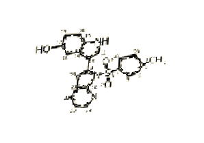 Cc1ccc(S(=O)(=O)n2c(-c3c[nH]c4ccc(O)cc34)cc3cccnc32)cc1